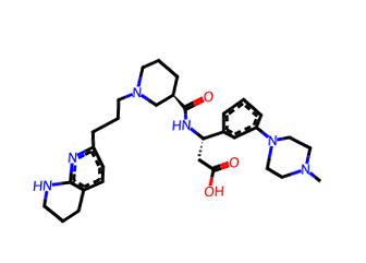 CN1CCN(c2cccc([C@H](CC(=O)O)NC(=O)[C@@H]3CCCN(CCCc4ccc5c(n4)NCCC5)C3)c2)CC1